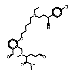 CCN(CCCCCOc1cccc(C=O)c1CN(C)C(CCC=O)C(=O)NC)CCC(C#N)c1ccc(Cl)cc1